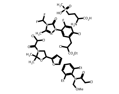 CC1(C)OC(c2ccco2)CN1C(=O)C(Cl)Cl.CCOC(=O)C(Cl)Cc1cc(-n2nc(C)n(C(F)F)c2=O)c(F)cc1Cl.CCc1cccc(CC)c1N(COC)C(=O)CCl.CP(=O)(O)CCC(N)C(=O)O